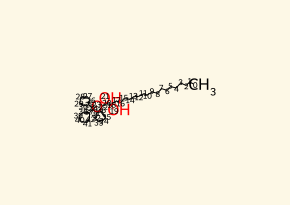 CCCCCCCCCCCCCCCCCCC(O)[C@H](O)COC(c1ccccc1)(c1ccccc1)c1ccccc1